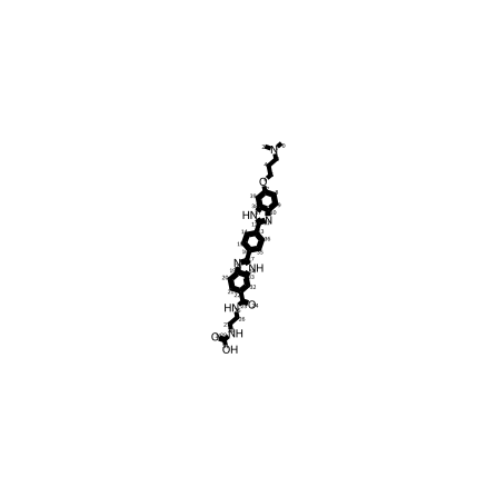 CN(C)CCCOc1ccc2nc(-c3ccc(-c4nc5ccc(C(=O)NCCNC(=O)O)cc5[nH]4)cc3)[nH]c2c1